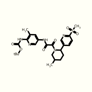 Cc1cc(NC(=O)C(=O)N2CC(C)CCC2c2ccc(S(C)(=O)=O)nc2)cnc1NC(=O)OC(C)(C)C